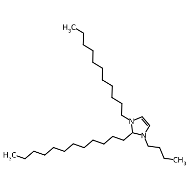 CCCCCCCCCCCCC1N(CCCC)C=CN1CCCCCCCCCCC